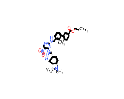 CCCOC(=O)c1cccc(-c2cccc(CNc3ncc([N+](=O)[O-])c(NC[C@H]4CC[C@H](CN(C)C)CC4)n3)c2C)c1